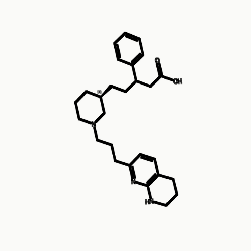 O=C(O)CC(CC[C@@H]1CCCN(CCCc2ccc3c(n2)NCCC3)C1)c1ccccc1